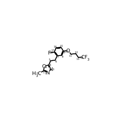 Cc1nnc(CCc2cc(OCCCC(F)(F)F)ccc2F)o1